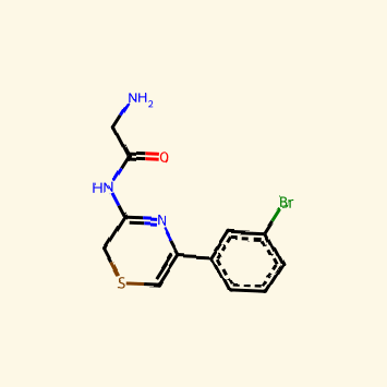 NCC(=O)NC1=NC(c2cccc(Br)c2)=CSC1